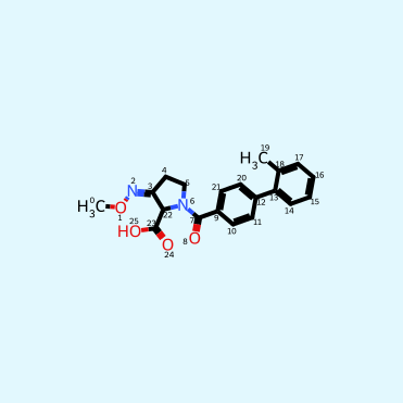 CON=C1CCN(C(=O)c2ccc(-c3ccccc3C)cc2)C1C(=O)O